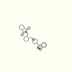 O=C1C2CCCCC2C(=O)N1CC1CCCCC1CN1CCC(c2noc3ccccc23)CC1